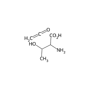 C=C=O.CC(O)C(N)C(=O)O